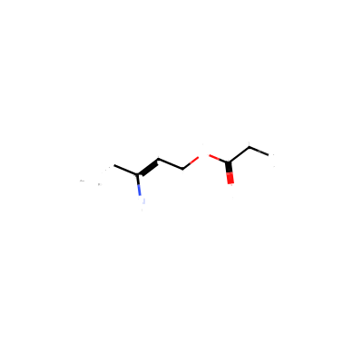 CCC[C@@H](C)CC(N)=CCOC(=O)CC(C)=O